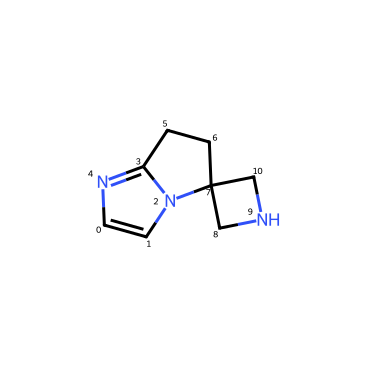 c1cn2c(n1)CCC21CNC1